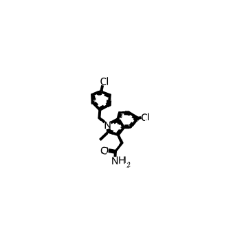 Cc1c(CC(N)=O)c2cc(Cl)ccc2n1Cc1ccc(Cl)cc1